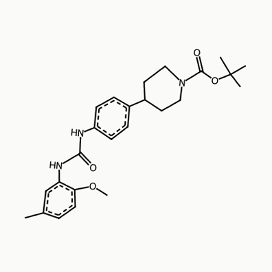 COc1ccc(C)cc1NC(=O)Nc1ccc(C2CCN(C(=O)OC(C)(C)C)CC2)cc1